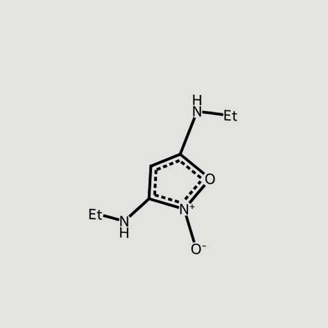 CCNc1cc(NCC)[n+]([O-])o1